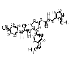 COc1ccc([C@@H]2CN(CC(=O)NCc3ccnn3C)CC[C@H]2NC(=O)Nc2ccc(Cl)cc2)nc1